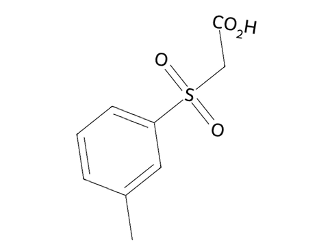 Cc1cccc(S(=O)(=O)CC(=O)O)c1